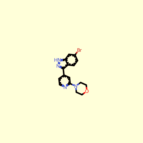 Brc1ccc2c(-c3ccnc(N4CCOCC4)c3)n[nH]c2c1